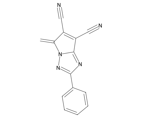 C=c1c(C#N)c(C#N)c2nc(-c3ccccc3)nn12